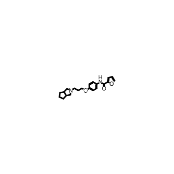 O=C(Nc1ccc(OCCCN2CC3CCCC3C2)cc1)c1ccco1